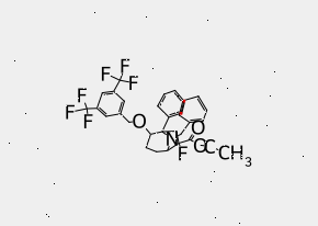 CCOC(=O)C1(F)CC2(c3ccccc3)C(OCc3cc(C(F)(F)F)cc(C(F)(F)F)c3)CCC1N2Cc1ccccc1